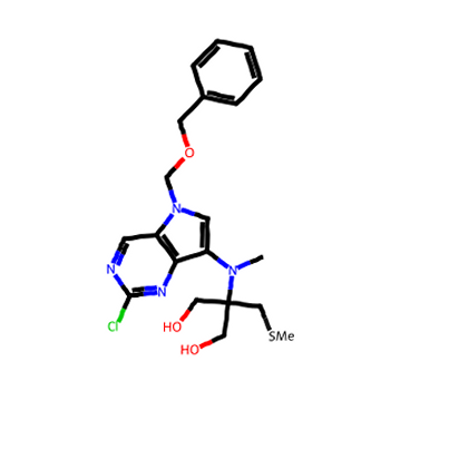 CSCC(CO)(CO)N(C)c1cn(COCc2ccccc2)c2cnc(Cl)nc12